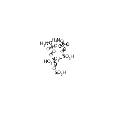 NOS(=O)(=O)OOS(=O)(=O)O.NOS(=O)(=O)OOS(=O)(=O)O.O=S(=O)(O)OOS(=O)(=O)O